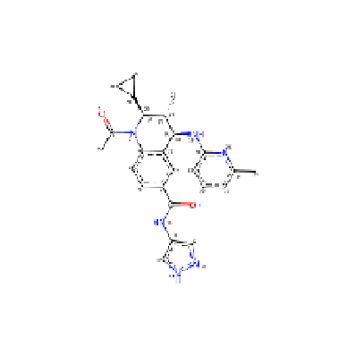 CC(=O)N1c2ccc(C(=O)Nc3cn[nH]c3)cc2[C@H](Nc2cccc(C)n2)[C@@H](C)[C@@H]1C1CC1